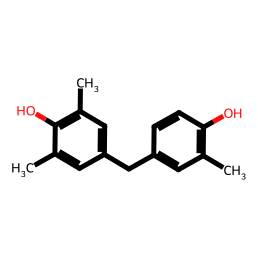 Cc1cc(Cc2cc(C)c(O)c(C)c2)ccc1O